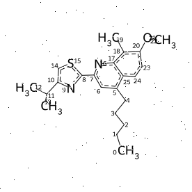 CCCCCc1cc(-c2nc(C(C)C)cs2)nc2c(C)c(OC)ccc12